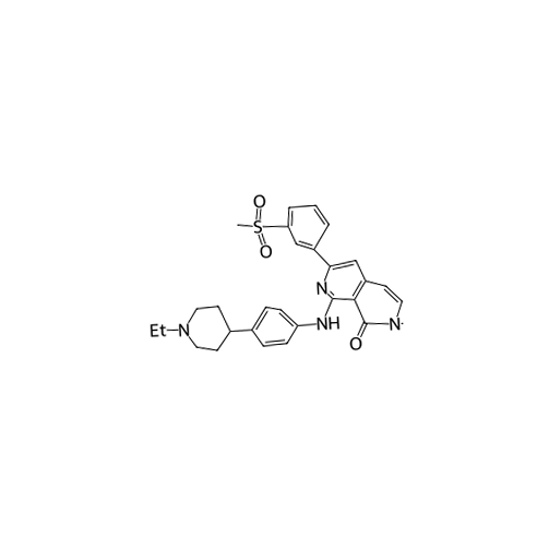 CCN1CCC(c2ccc(Nc3nc(-c4cccc(S(C)(=O)=O)c4)cc4c3C(=O)[N]C=C4)cc2)CC1